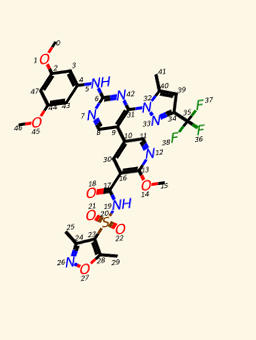 COc1cc(Nc2ncc(-c3cnc(OC)c(C(=O)NS(=O)(=O)c4c(C)noc4C)c3)c(-n3nc(C(F)(F)F)cc3C)n2)cc(OC)c1